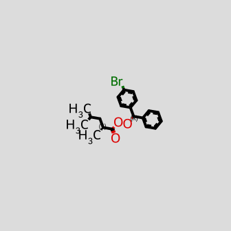 CC(C)C[C@H](C)C(=O)OO[C@H](c1ccccc1)c1ccc(Br)cc1